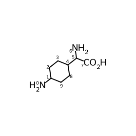 NC1CCC(C(N)C(=O)O)CC1